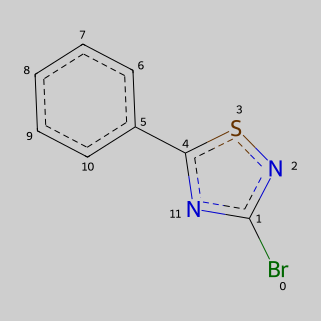 Brc1nsc(-c2ccccc2)n1